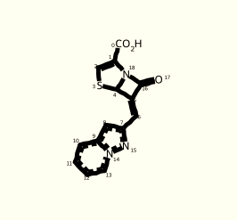 O=C(O)C1=CSC2/C(=C\c3cc4ccccn4n3)C(=O)N12